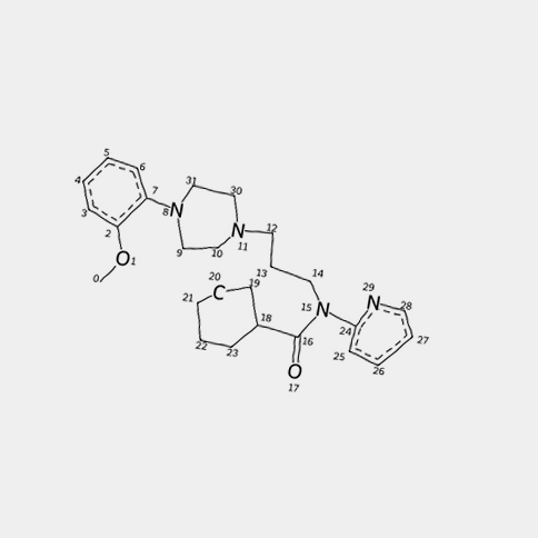 COc1ccccc1N1CCN(CCCN(C(=O)C2CCCCC2)c2ccccn2)CC1